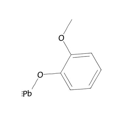 COc1ccccc1[O][Pb]